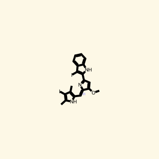 COC1=CC(c2[nH]c3ccccc3c2I)=N/C1=C\c1[nH]c(C)c(I)c1C